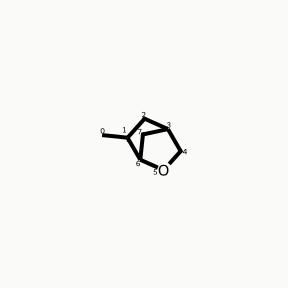 C[C]1CC2COC1C2